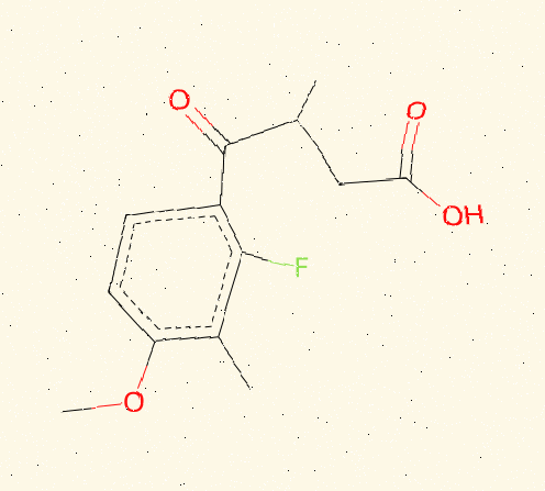 COc1ccc(C(=O)C(C)CC(=O)O)c(F)c1C